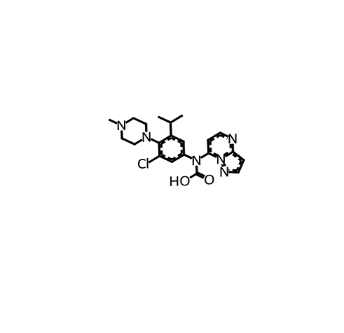 CC(C)c1cc(N(C(=O)O)c2ccnc3ccnn23)cc(Cl)c1N1CCN(C)CC1